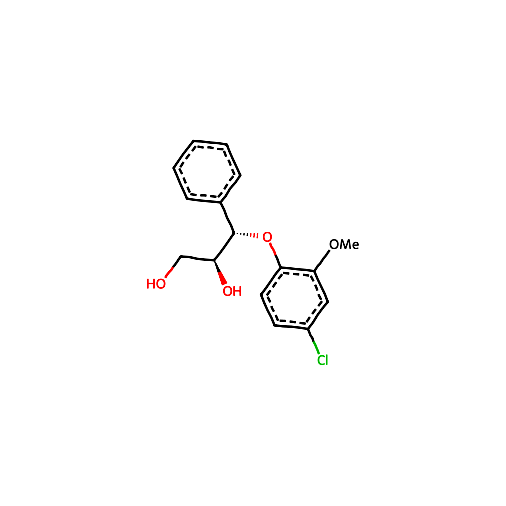 COc1cc(Cl)ccc1O[C@@H](c1ccccc1)[C@@H](O)CO